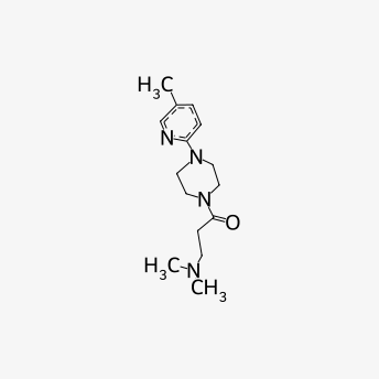 Cc1ccc(N2CCN(C(=O)CCN(C)C)CC2)nc1